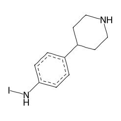 INc1ccc(C2CCNCC2)cc1